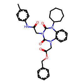 Cc1ccc(NC(=O)CN2C(=O)N(CC(=O)OCc3ccccc3)c3ccccc3N(C3CCCCCC3)C2=O)cc1